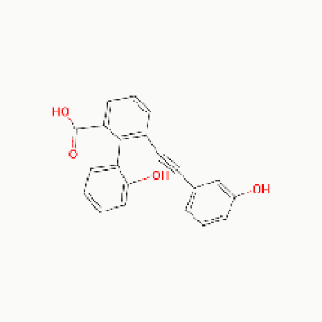 O=C(O)c1cccc(C#Cc2cccc(O)c2)c1-c1ccccc1O